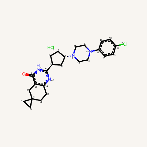 Cl.O=c1[nH]c([C@H]2CC[C@H](N3CCN(c4ccc(Cl)cc4)CC3)C2)nc2c1CC1(CC2)CC1